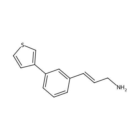 NC/C=C/c1cccc(-c2ccsc2)c1